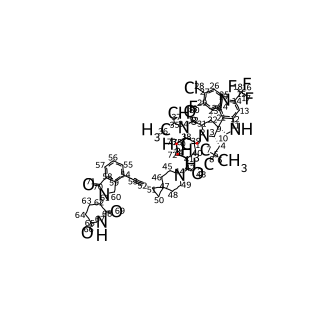 CCN1[C@@H](CC(C)(C)C)[C@@]2(CNc3cc(C(F)(F)F)ncc32)[C@@H](c2cccc(Cl)c2F)[C@@H]1C(=O)N(C(C)C)C12CCC(C(=O)N3CCC4(CC3)C[C@@H]4C#Cc3cccc4c3CN(C3CCC(=O)NC3=O)C4=O)(CC1)CC2